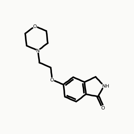 O=C1NCc2cc(OCCN3CCOCC3)ccc21